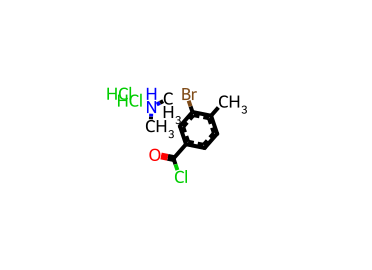 CNC.Cc1ccc(C(=O)Cl)cc1Br.Cl.Cl